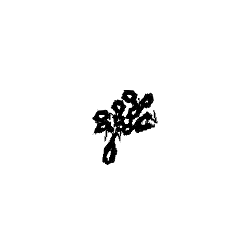 c1ccc(-c2nc(-c3ccccc3)nc(-c3ccc(-c4ccncc4)c(-c4ccc5c(c4)c4ccccc4n5-c4ccccc4)c3-c3ccc4c(c3)c3ccccc3n4-c3ccccc3)n2)cc1